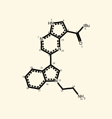 CC(C)(C)C(=O)c1c[nH]c2ncc(-c3cn(CCN)c4ccccc34)nc12